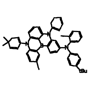 Cc1ccc2c(c1)B1c3ccc(N(c4ccc(C(C)(C)C)cc4)c4ccccc4C)cc3N(C3=CC=CCC3)c3cccc(c31)N2C1=CCC(C)(C)C=C1